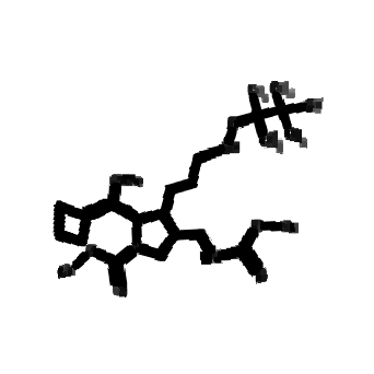 COC(=C1CCC1)C1C(CCCBOC(C)(C)C(C)(C)S)C(CNC(=O)OC(C)(C)C)CN1C(=O)OC(C)(C)C